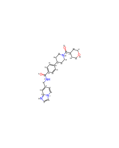 O=C(NCc1ccn2ccnc2c1)c1ccc(C2CCN(C(=O)C3CCOCC3)CC2)cc1